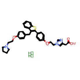 Cl.Cl.O=C(O)Cc1cn(CCOc2ccc(-c3sc4ccccc4c3Cc3ccc(OCCN4CCCC4)cc3)cc2)cn1